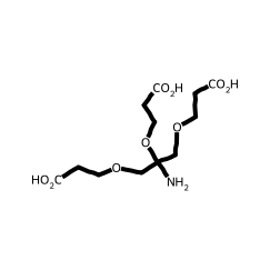 NC(COCCC(=O)O)(COCCC(=O)O)OCCC(=O)O